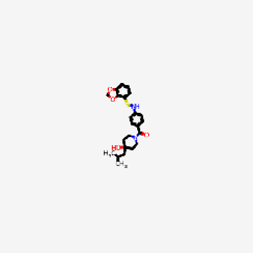 CC(C)CC1(O)CCN(C(=O)c2ccc(NSc3cccc4c3OCO4)cc2)CC1